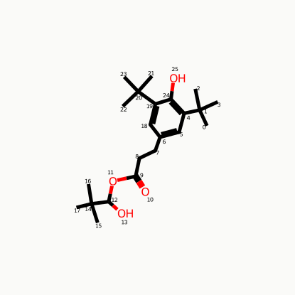 CC(C)(C)c1cc(CCC(=O)OC(O)C(C)(C)C)cc(C(C)(C)C)c1O